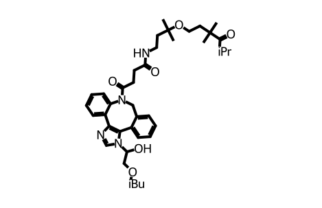 CCC(C)OCC(O)n1cnc2c1-c1ccccc1CN(C(=O)CCC(=O)NCCC(C)(C)OCCC(C)(C)C(=O)C(C)C)c1ccccc1-2